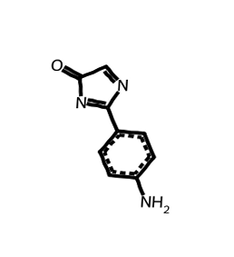 Nc1ccc(C2=NC(=O)C=N2)cc1